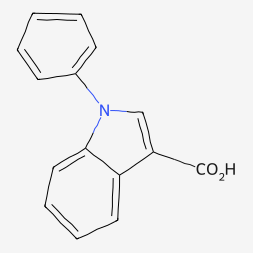 O=C(O)c1cn(-c2ccccc2)c2ccccc12